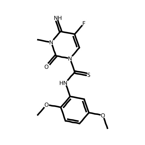 COc1ccc(OC)c(NC(=S)n2cc(F)c(=N)n(C)c2=O)c1